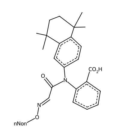 CCCCCCCCCON=CC(=O)N(c1ccc2c(c1)C(C)(C)CCC2(C)C)c1ccccc1C(=O)O